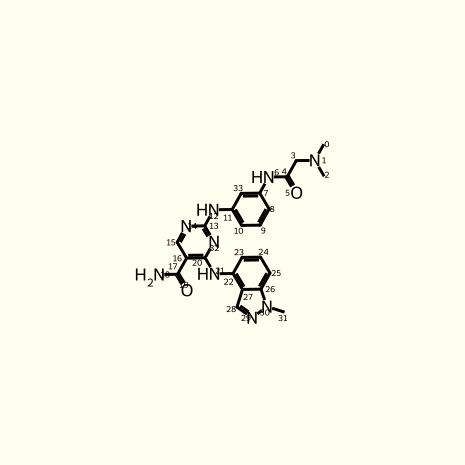 CN(C)CC(=O)Nc1cccc(Nc2ncc(C(N)=O)c(Nc3cccc4c3cnn4C)n2)c1